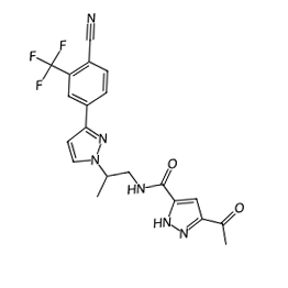 CC(=O)c1cc(C(=O)NCC(C)n2ccc(-c3ccc(C#N)c(C(F)(F)F)c3)n2)[nH]n1